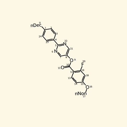 CCCCCCCCCCc1ccc(-c2ncc(OC(=O)c3ccc(OCCCCCCCCC)cc3F)cn2)cc1